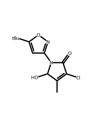 CC1=C(Cl)C(=O)N(c2cc(C(C)(C)C)on2)C1O